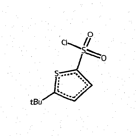 CC(C)(C)c1ccc(S(=O)(=O)Cl)s1